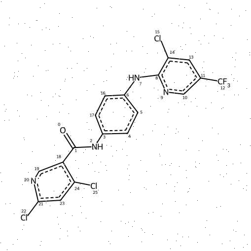 O=C(Nc1ccc(Nc2ncc(C(F)(F)F)cc2Cl)cc1)c1cnc(Cl)cc1Cl